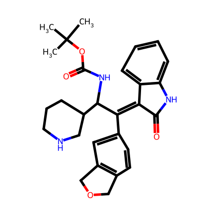 CC(C)(C)OC(=O)NC(C(=C1C(=O)Nc2ccccc21)c1ccc2c(c1)COC2)C1CCCNC1